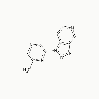 Cc1cncc(-n2nnc3cnccc32)n1